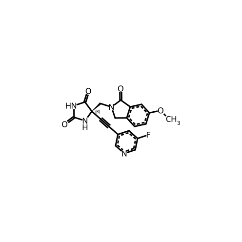 COc1ccc2c(c1)C(=O)N(C[C@@]1(C#Cc3cncc(F)c3)NC(=O)NC1=O)C2